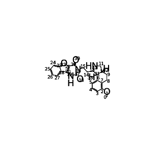 COc1cccc2c1CC[C@H]1CNC(CCn3c(=O)[nH]c4c(oc5ccccc54)c3=O)[C@@H]21